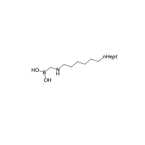 CCCCCCCCCCCCCNCB(O)O